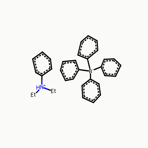 CC[NH+](CC)c1ccccc1.c1ccc([B-](c2ccccc2)(c2ccccc2)c2ccccc2)cc1